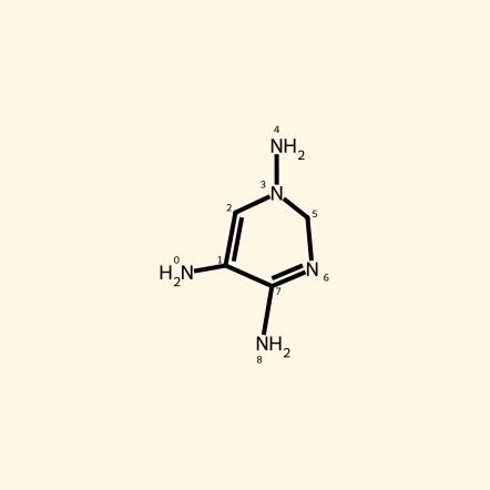 NC1=CN(N)CN=C1N